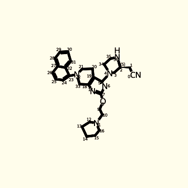 N#CC[C@H]1CN(c2nc(OCCN3CCCCC3)nc3c2CCN(c2cccc4ccccc24)C3)CCN1